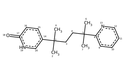 CC(C)(CCC(C)(C)c1ccccn1)c1ccc(=O)[nH]c1